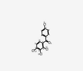 O=C(c1ccc(Cl)cc1)c1ccc(Cl)c(Cl)c1Cl